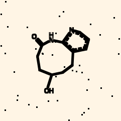 O=C1CCC(O)CCc2cccnc2N1